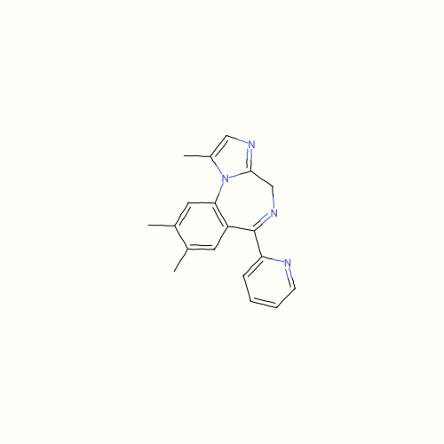 Cc1cc2c(cc1C)-n1c(C)cnc1CN=C2c1ccccn1